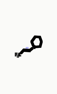 FC(F)(F)/C=C/N1CCCCC1